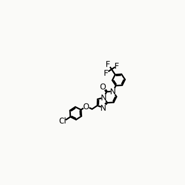 O=c1n(-c2cccc(C(F)(F)F)c2)ccc2nc(COc3ccc(Cl)cc3)cn12